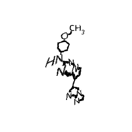 CCO[C@H]1CC[C@@H](Nc2ncc3c(-c4cnc5nccn5c4)ccn3n2)CC1